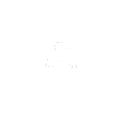 CCC(C(N)c1ccsc1)N(C)C